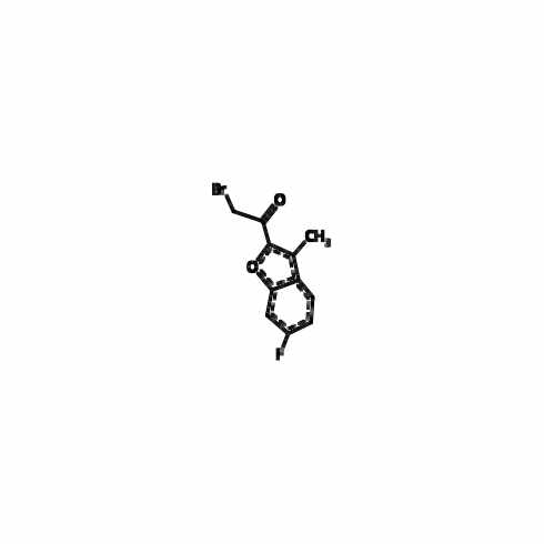 Cc1c(C(=O)CBr)oc2cc(F)ccc12